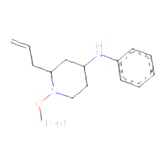 C=CCC1CC(Nc2ccccc2)CCN1OCCCCC